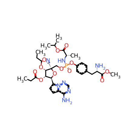 CCC(=O)O[C@H]1[C@H](c2ccc3c(N)ncnn23)O[C@](C#N)(COP(=O)(N[C@@H](C)C(=O)OC(C)C)Oc2ccc(C[C@H](N)C(=O)OC)cc2)[C@H]1OC(=O)CC